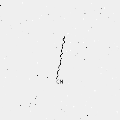 C=CCCCCCCCCCCCCC[CH]C#N